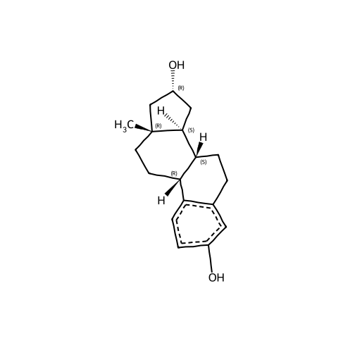 C[C@]12CC[C@H]3c4ccc(O)cc4CC[C@H]3[C@@H]1C[C@@H](O)C2